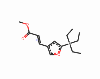 CC[Si](CC)(CC)c1cc(/C=C/C(=O)OC)co1